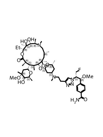 CC[C@H]1OC(=O)[C@H](C)[C@@H](C2C[C@@](C)(OC)[C@@H](O)[C@H](C)O2)[C@H](C)[C@@H](O[C@H]2C[C@@H](N(C)CCc3cn([C@H](CF)[C@H](OC)c4ccc(C(N)=O)cc4)nn3)C[C@@H](C)O2)[C@](C)(O)C[C@@H](C)CN(C)[C@H](C)[C@@H](O)[C@]1(C)O